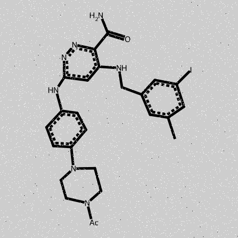 CC(=O)N1CCN(c2ccc(Nc3cc(NCc4cc(C)cc(I)c4)c(C(N)=O)nn3)cc2)CC1